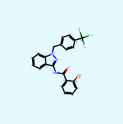 O=C(Nc1nn(Cc2ccc(C(F)(F)F)cc2)c2ccccc12)c1ccccc1O